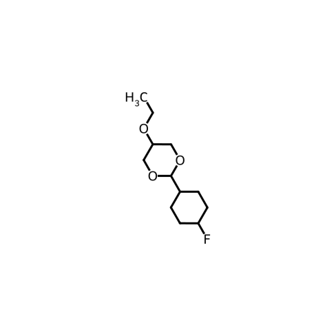 CCOC1COC(C2CCC(F)CC2)OC1